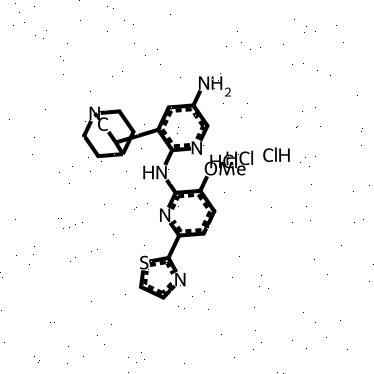 COc1ccc(-c2nccs2)nc1Nc1ncc(N)cc1C1CN2CCC1CC2.Cl.Cl.Cl